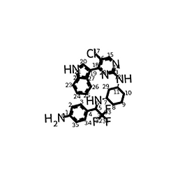 Nc1ccc(C(N[C@H]2CCC[C@@H](Nc3ncc(Cl)c(-c4c[nH]c5ccccc45)n3)C2)C(F)(F)F)cc1